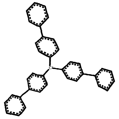 c1ccc(-c2ccc([C+](c3ccc(-c4ccccc4)cc3)c3ccc(-c4ccccc4)cc3)cc2)cc1